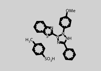 COc1ccc(N2NC(c3ccccc3)=NN2c2nc3ccccc3s2)cc1.Cc1ccc(S(=O)(=O)O)cc1